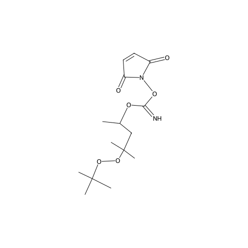 CC(CC(C)(C)OOC(C)(C)C)OC(=N)ON1C(=O)C=CC1=O